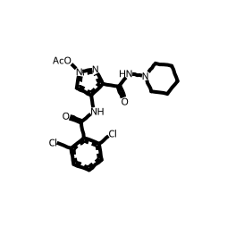 CC(=O)On1cc(NC(=O)c2c(Cl)cccc2Cl)c(C(=O)NN2CCCCC2)n1